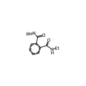 CCNC(=O)c1ccccc1C(=O)NC